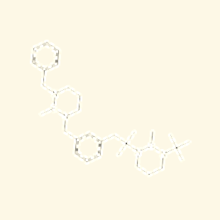 CB1N(Cc2ccccc2)CCCN1Cc1cccc(CC(C)(C)N2CCCN(C(C)(C)C)B2C)c1